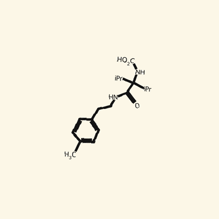 Cc1ccc(CCNC(=O)C(NC(=O)O)(C(C)C)C(C)C)cc1